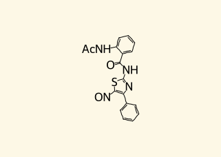 CC(=O)Nc1ccccc1C(=O)Nc1nc(-c2ccccc2)c(N=O)s1